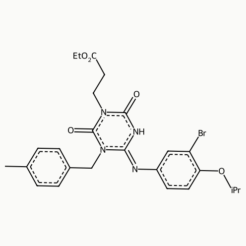 CCOC(=O)CCn1c(=O)[nH]/c(=N\c2ccc(OC(C)C)c(Br)c2)n(Cc2ccc(C)cc2)c1=O